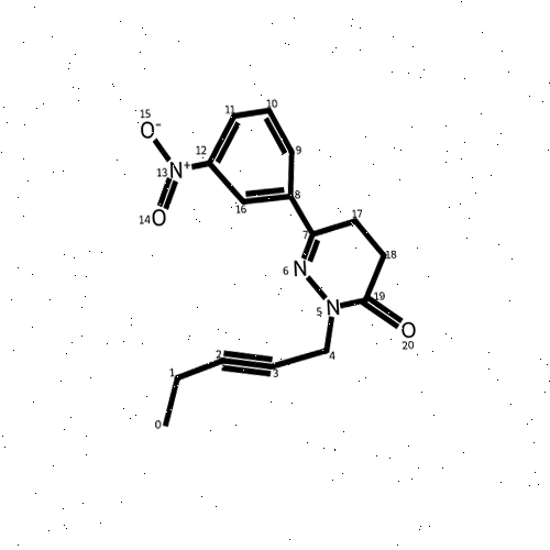 CCC#CCN1N=C(c2cccc([N+](=O)[O-])c2)CCC1=O